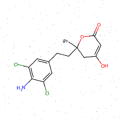 CC(C)C1(CCc2cc(Cl)c(N)c(Cl)c2)CC(O)=CC(=O)O1